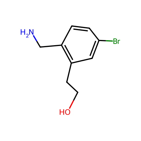 NCc1ccc(Br)cc1CCO